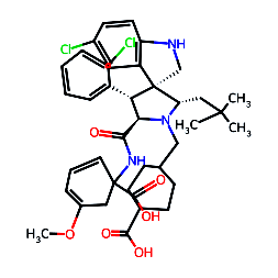 COC1=CC=CC(NC(=O)[C@H]2[C@H](c3ccccc3Cl)[C@]3(CNc4ccc(Cl)cc43)[C@H](CC(C)(C)C)N2CC2CCC(C(=O)O)CC2)(C(=O)O)C1